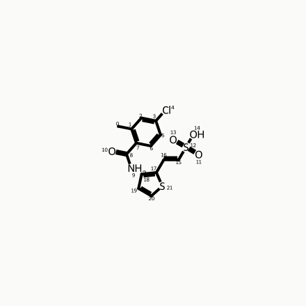 Cc1cc(Cl)ccc1C(N)=O.O=S(=O)(O)/C=C/c1cccs1